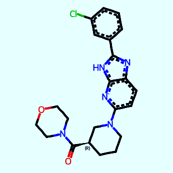 O=C([C@@H]1CCCN(c2ccc3nc(-c4cccc(Cl)c4)[nH]c3n2)C1)N1CCOCC1